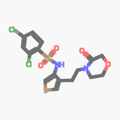 O=C1COCCN1CCc1cscc1NS(=O)(=O)c1ccc(Cl)cc1Cl